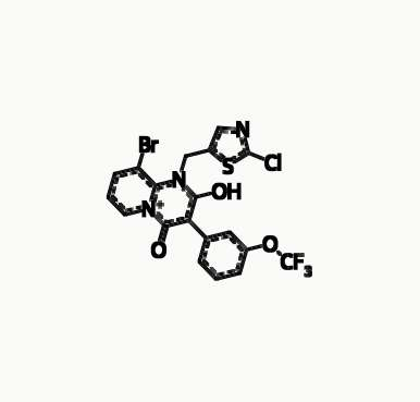 O=c1c(-c2cccc(OC(F)(F)F)c2)c(O)n(Cc2cnc(Cl)s2)c2c(Br)ccc[n+]12